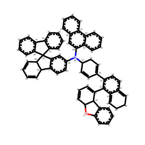 C1=CC2Oc3ccccc3C2C(c2c(C3=CCC(N(c4ccc5c(c4)C4(c6ccccc6-c6ccccc64)C4C=CC=CC54)c4cc5ccccc5c5ccccc45)C=C3)ccc3c2=CCCC=3)=C1